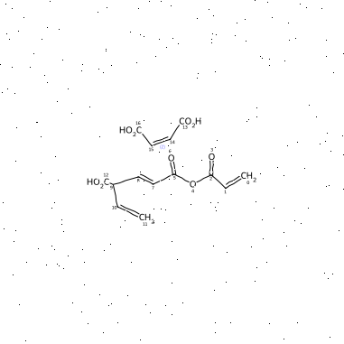 C=CC(=O)OC(=O)C=CC(C=C)C(=O)O.O=C(O)/C=C\C(=O)O